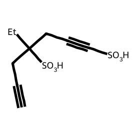 C#CCC(CC)(CC#CS(=O)(=O)O)S(=O)(=O)O